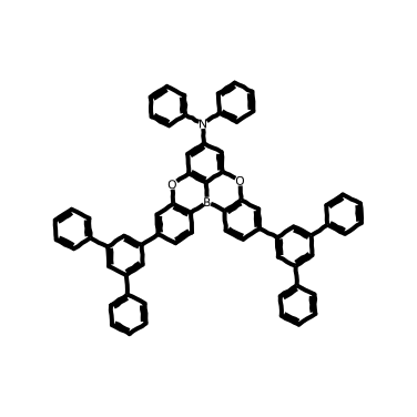 c1ccc(-c2cc(-c3ccccc3)cc(-c3ccc4c(c3)Oc3cc(N(c5ccccc5)c5ccccc5)cc5c3B4c3ccc(-c4cc(-c6ccccc6)cc(-c6ccccc6)c4)cc3O5)c2)cc1